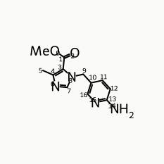 COC(=O)c1c(C)ncn1Cc1ccc(N)nc1